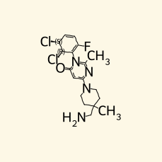 Cc1nc(N2CCC(C)(CN)CC2)cc(=O)n1C1=C(F)C=C[C@H](Cl)[C@@H]1Cl